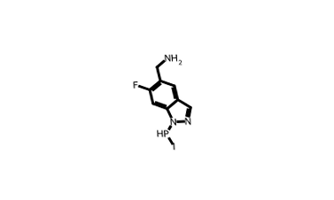 NCc1cc2cnn(PI)c2cc1F